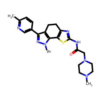 Cc1ccc(-c2nn(C(C)C)c3c2CCc2nc(NC(=O)CN4CCN(C)CC4)sc2-3)cn1